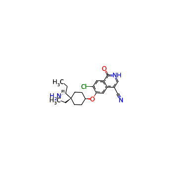 CC[C@@H](N)[C@]1(CC)CC[C@@H](Oc2cc3c(C#N)c[nH]c(=O)c3cc2Cl)CC1